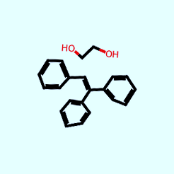 C(=C(c1ccccc1)c1ccccc1)c1ccccc1.OCCO